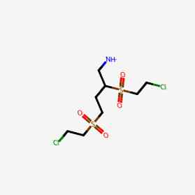 [NH]CC(CCS(=O)(=O)CCCl)S(=O)(=O)CCCl